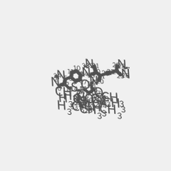 Cc1ncnc(-c2ccccc2)c1CSC[C@H]1O[C@@H](n2cc(C#Cc3cncnc3)c3cncnc32)[C@H](O[Si](C)(C)C(C)(C)C)[C@@H]1O[Si](C)(C)C(C)(C)C